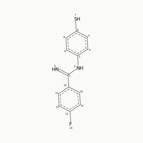 N=C(Nc1ccc(S)cc1)c1ccc(F)cc1